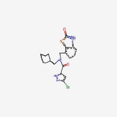 O=C(c1cc(Br)n[nH]1)N(Cc1cccc2[nH]c(=O)sc12)CC1CCC1